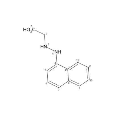 O=C(O)CNNc1cccc2ccccc12